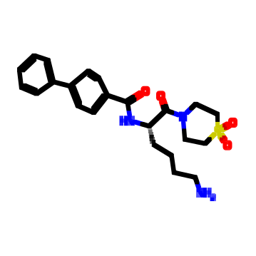 NCCCC[C@H](NC(=O)c1ccc(-c2ccccc2)cc1)C(=O)N1CCS(=O)(=O)CC1